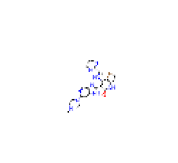 C[C@H](Nc1c(-c2nc3cnc(N4CCN(C)CC4)cc3[nH]2)c(=O)[nH]c2ccsc12)c1ncccn1